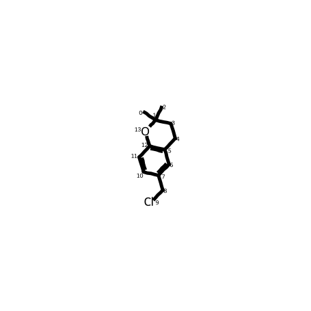 CC1(C)CCc2cc(CCl)ccc2O1